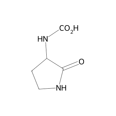 O=C(O)NC1CCNC1=O